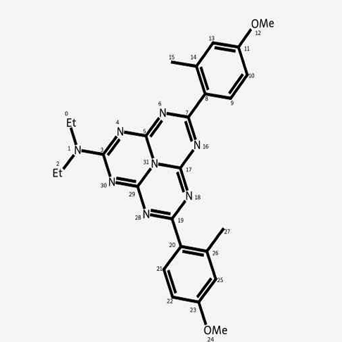 CCN(CC)C1=NC2=NC(c3ccc(OC)cc3C)=NC3=NC(c4ccc(OC)cc4C)=NC(=N1)N32